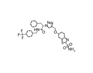 NS(=O)(=O)c1nc2ccc(OCc3cn(C(Cc4ccccc4)C(=O)NCc4ccc(C(F)(F)F)cc4)nn3)cc2s1